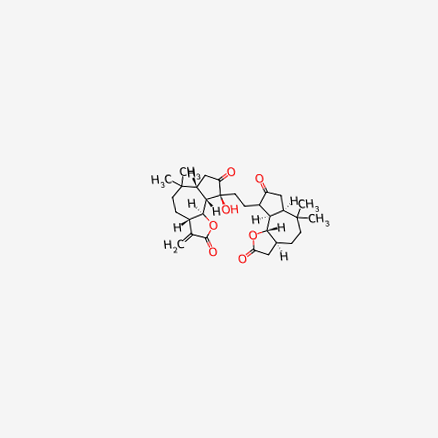 C=C1C(=O)O[C@@H]2[C@@H]3[C@@H](CC(=O)[C@]3(O)CCC3C(=O)C[C@@H]4[C@H]3[C@H]3OC(=O)C[C@@H]3CCC4(C)C)C(C)(C)CC[C@@H]12